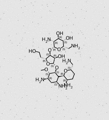 CO[C@H]1[C@H](N)C[C@H](N)C([C@H]2O[C@H](CN)CC[C@H]2N)[C@@H]1O[C@@H]1O[C@H](CCO)[C@@H](O[C@H]2O[C@@H](CN)[C@@H](O)[C@H](O)[C@H]2N)[C@H]1O